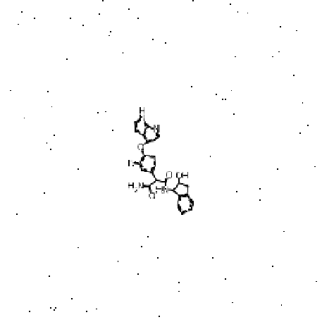 NC(=O)C(C(=O)NC1c2ccccc2CC1O)c1ccc(Oc2ccnc3[nH]ccc23)c(F)c1